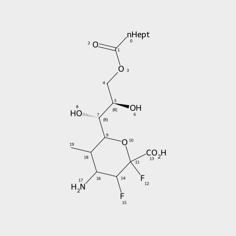 CCCCCCCC(=O)OC[C@@H](O)[C@@H](O)C1OC(F)(C(=O)O)C(F)C(N)C1C